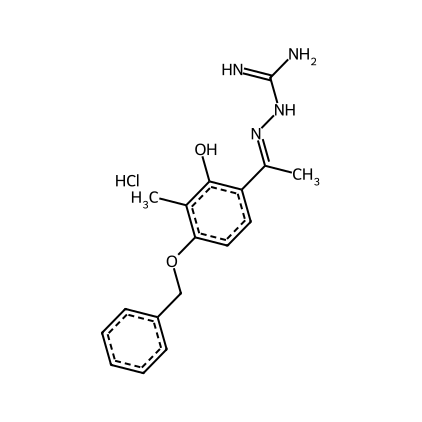 CC(=NNC(=N)N)c1ccc(OCc2ccccc2)c(C)c1O.Cl